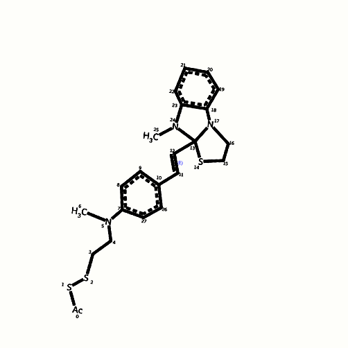 CC(=O)SSCCN(C)c1ccc(/C=C/C23SCCN2c2ccccc2N3C)cc1